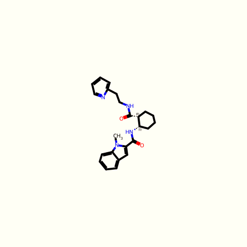 Cn1c(C(=O)N[C@H]2CCCC[C@H]2C(=O)NCCc2ccccn2)cc2ccccc21